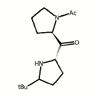 CC(=O)N1CCC[C@@H]1C(=O)[C@@H]1CCC(C(C)(C)C)N1